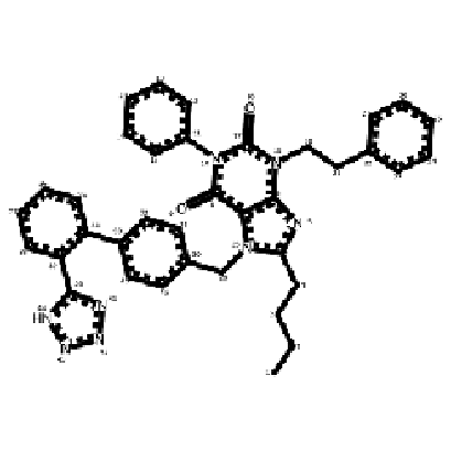 CCCCc1nc2c(c(=O)n(-c3ccccc3)c(=O)n2CCc2ccccc2)n1Cc1ccc(-c2ccccc2-c2nnn[nH]2)cc1